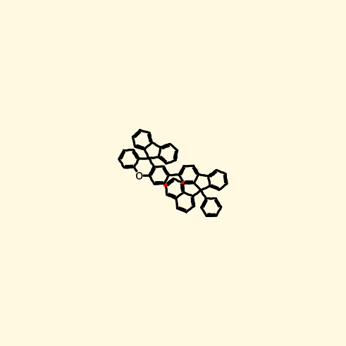 c1ccc(C2(c3cccc4ccccc34)c3ccccc3-c3ccc(-c4ccc5c(c4)C4(c6ccccc6O5)c5ccccc5-c5ccccc54)cc32)cc1